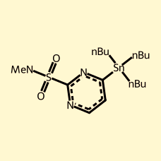 CCC[CH2][Sn]([CH2]CCC)([CH2]CCC)[c]1ccnc(S(=O)(=O)NC)n1